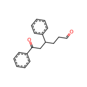 O=CCCC(CC(=O)c1ccccc1)c1ccccc1